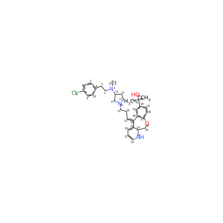 CCN(CCc1ccc(Cl)cc1)C1CCN(CC/C=C2/C3=CC=CNC3COc3ccc(C(C)(C)O)cc32)C1